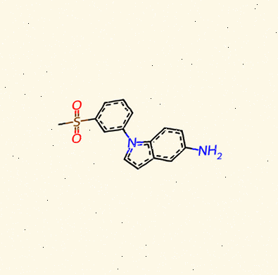 CS(=O)(=O)c1cccc(-n2ccc3cc(N)ccc32)c1